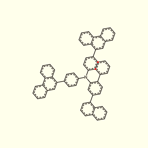 c1ccc(-c2ccc(-c3cccc4ccccc34)cc2N(c2ccc(-c3cc4ccccc4c4ccccc34)cc2)c2ccc(-c3cc4ccccc4c4ccccc34)cc2)cc1